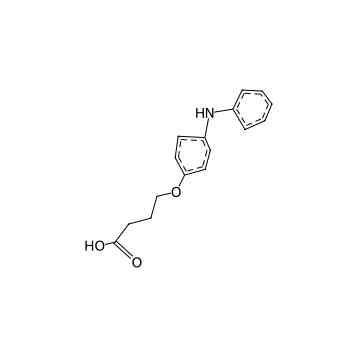 O=C(O)CCCOc1ccc(Nc2ccccc2)cc1